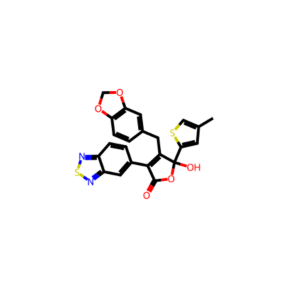 Cc1csc(C2(O)OC(=O)C(c3ccc4nsnc4c3)=C2Cc2ccc3c(c2)OCO3)c1